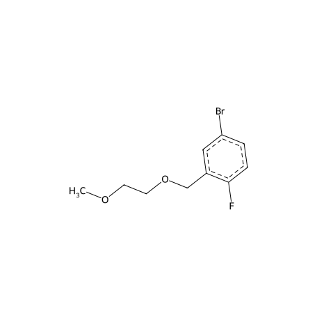 COCCOCc1cc(Br)ccc1F